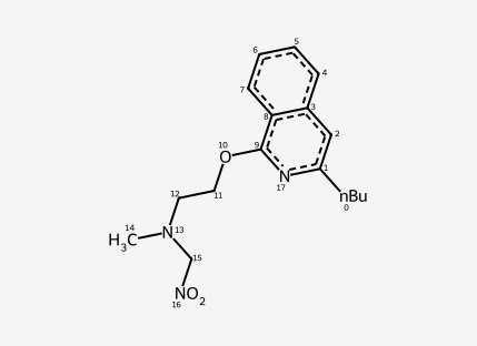 CCCCc1cc2ccccc2c(OCCN(C)C[N+](=O)[O-])n1